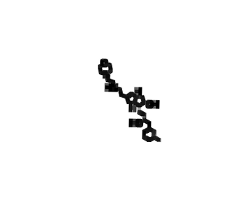 Cc1cccc(C[C@H](O)/C=C/[C@@H]2[C@H]3CC(CCNCCN4CCOCC4)=C[C@H]3C[C@H]2O)c1